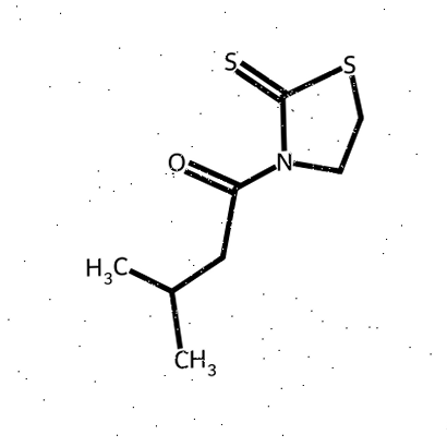 CC(C)CC(=O)N1CCSC1=S